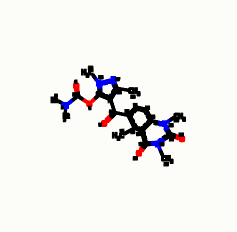 CCN(CC)C(=O)Oc1c(C(=O)c2ccc3c(c2C)c(=O)n(C)c(=O)n3C)c(C)nn1C